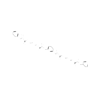 O=C(NCc1ccccc1)OCCCOC(=O)NCc1cccc(CNC(=O)OCCCOC(=O)NCc2ccccc2)c1